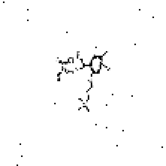 CCN[SH](=O)=O.Cc1cc(OCCC[Si](C)(C)C)c(C(F)F)cc1C